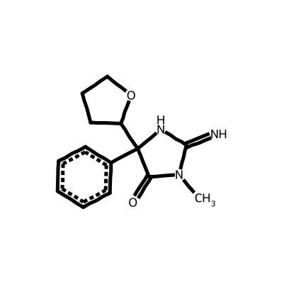 CN1C(=N)NC(c2ccccc2)(C2CCCO2)C1=O